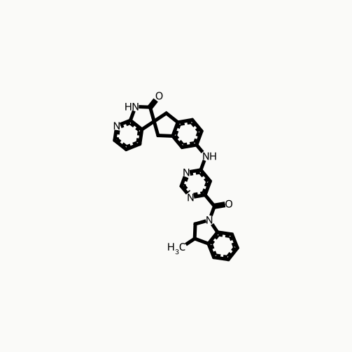 CC1CN(C(=O)c2cc(Nc3ccc4c(c3)CC3(C4)C(=O)Nc4ncccc43)ncn2)c2ccccc21